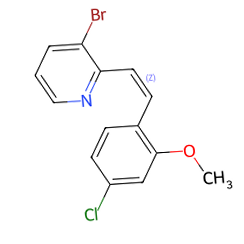 COc1cc(Cl)ccc1/C=C\c1ncccc1Br